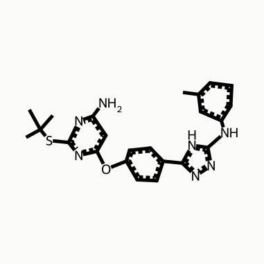 Cc1cccc(Nc2nnc(-c3ccc(Oc4cc(N)nc(SC(C)(C)C)n4)cc3)[nH]2)c1